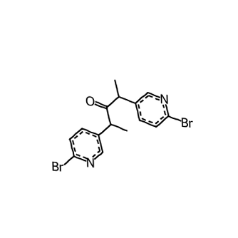 CC(C(=O)C(C)c1ccc(Br)nc1)c1ccc(Br)nc1